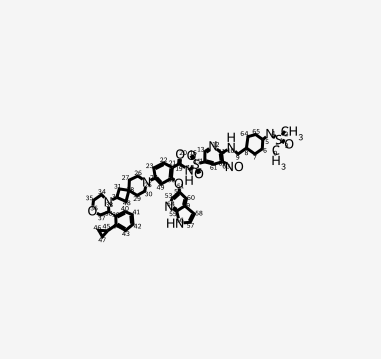 CS(C)(=O)=NC1CCC(CNc2ncc(S(=O)(=O)NC(=O)c3ccc(N4CCC5(CC4)CC(N4CCOC[C@@H]4c4ccccc4C4CC4)C5)cc3Oc3cnc4[nH]ccc4c3)cc2N=O)CC1